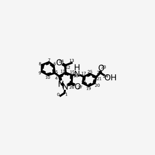 CCn1nc(-c2ccccc2)c(C(C)=O)c(Nc2cccc(C(=O)O)c2)c1=O